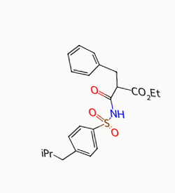 CCOC(=O)C(Cc1ccccc1)C(=O)NS(=O)(=O)c1ccc(CC(C)C)cc1